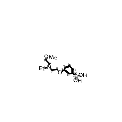 CCN(CCOC)CCOc1cccc(B(O)O)c1